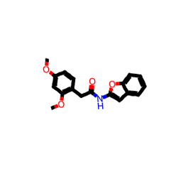 COc1ccc(CC(=O)Nc2cc3ccccc3o2)c(OC)c1